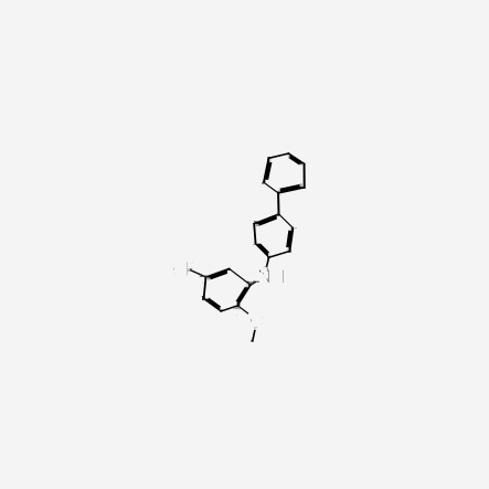 COc1ccc(Cl)cc1Nc1ccc(-c2ccccc2)cc1